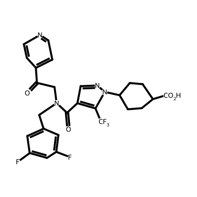 O=C(CN(Cc1cc(F)cc(F)c1)C(=O)c1cnn(C2CCC(C(=O)O)CC2)c1C(F)(F)F)c1ccncc1